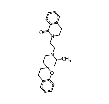 C[C@@H]1C[C@]2(CCc3ccccc3O2)CCN1CCN1CCc2ccccc2C1=O